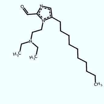 CCCCCCCCCCc1cnc(C=O)n1CCN(CC)CC